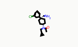 CC(=O)N(CC1CC1)[C@H]1CC[C@](CN)(C2C=CC=C(Cl)C2)CC1